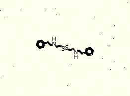 c1ccc(CCNCCSSCCNCCc2ccccc2)cc1